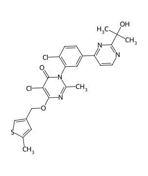 Cc1cc(COc2nc(C)n(-c3cc(-c4ccnc(C(C)(C)O)n4)ccc3Cl)c(=O)c2Cl)cs1